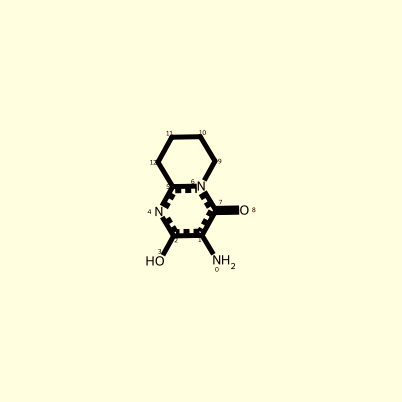 Nc1c(O)nc2n(c1=O)CCCC2